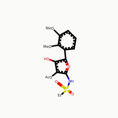 CCS(=O)(=O)Nc1oc(-c2cccc(OC)c2OC)c(O)c1OC(C)=O